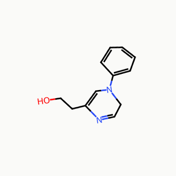 OCCC1=CN(c2ccccc2)CC=N1